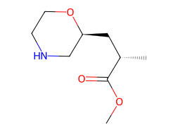 COC(=O)[C@@H](C)C[C@H]1CNCCO1